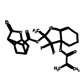 C=C(C)C(=O)OC12CCCCC1OC(OC(=O)C1C3CC4OC(=O)C1C4C3)(C(F)(F)F)C2(F)F